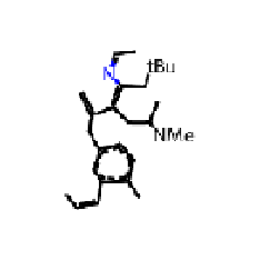 C=C(Cc1ccc(C)c(/C=C\C)c1)/C(CC(C)NC)=C(CC(C)(C)C)\N=C/C